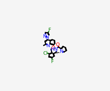 Cc1cc(-n2cc(F)cn2)c2cccc(OCc3c(Cl)cc(F)cc3[C@H](C)NC(=O)c3ccccn3)c2n1